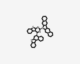 c1ccc2cc3c(cc2c1)c1cc2ccccc2cc1n3-c1nc(-c2cc3sc4ccccc4c3c3ccccc23)c2c(n1)sc1ccccc12